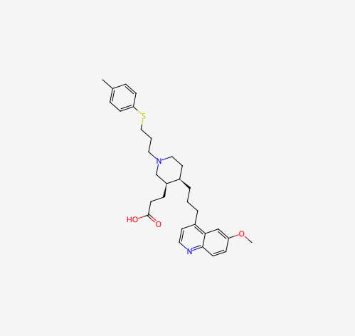 COc1ccc2nccc(CCC[C@@H]3CCN(CCCSc4ccc(C)cc4)C[C@@H]3CCC(=O)O)c2c1